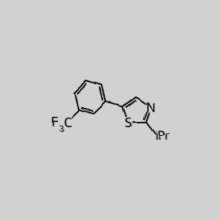 CC(C)c1ncc(-c2cccc(C(F)(F)F)c2)s1